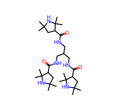 CC1(C)CC(C(=O)NCC(CNC(=O)C2CC(C)(C)NC2(C)C)CNC(=O)C2CC(C)(C)NC2(C)C)C(C)(C)N1